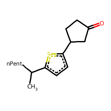 CCCCCC(C)c1ccc(C2CCC(=O)C2)s1